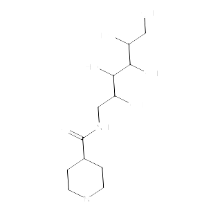 O=C(NCC(O)C(O)C(O)C(O)CO)C1CCNCC1